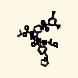 COC[C@H](C)Nc1cc(CN2CCCC2)ccc1C(=O)Nc1nn(C(=O)OC(C)C)c2c1CN(S(=O)(=O)c1cc(F)cc(F)c1)CC2